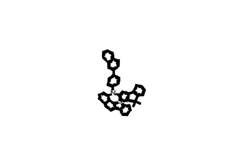 CC1(C)c2ccccc2-c2cc(N(c3ccc(-c4ccc5ccccc5c4)cc3)c3cccc4ccc5c6ccccc6sc5c34)ccc21